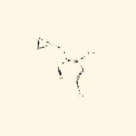 FC(F)(F)c1cc(Br)ccc1OC1CC1